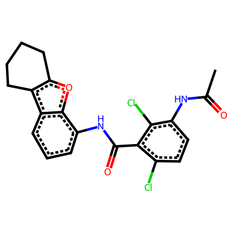 CC(=O)Nc1ccc(Cl)c(C(=O)Nc2cccc3c4c(oc23)CCCC4)c1Cl